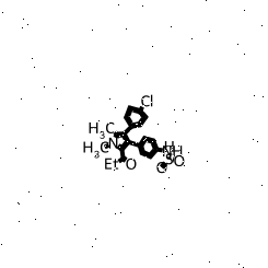 CCC(=O)c1c(-c2ccc(N[SH](=O)=O)cc2)c(-c2ccc(Cl)cc2)c(C)n1C